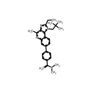 C=C(c1ccc(-c2ccc3c(c2)nc(C)c2nc(CC)n(CC(C)(C)C)c23)cc1)N(C)C